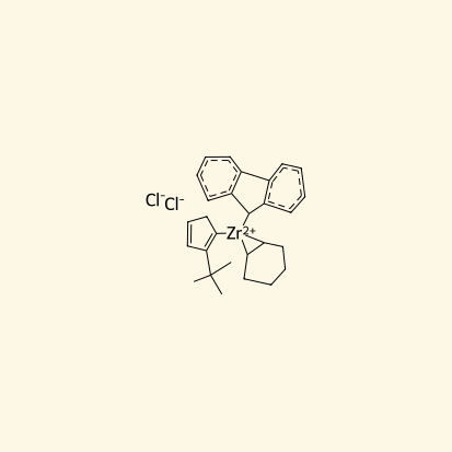 CC(C)(C)C1=[C]([Zr+2]2([CH]3c4ccccc4-c4ccccc43)[CH]3CCCC[CH]32)CC=C1.[Cl-].[Cl-]